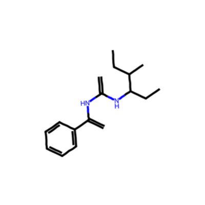 C=C(NC(=C)c1ccccc1)NC(CC)C(C)CC